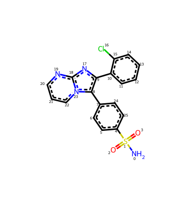 NS(=O)(=O)c1ccc(-c2c(-c3ccccc3Cl)nc3ncccn23)cc1